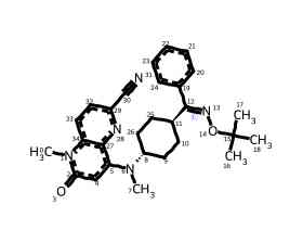 Cn1c(=O)cc(N(C)[C@H]2CC[C@H](/C(=N\OC(C)(C)C)c3ccccc3)CC2)c2nc(C#N)ccc21